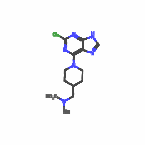 CC(C)(C)N(CC1CCN(c2nc(Cl)nc3[nH]cnc23)CC1)C(=O)O